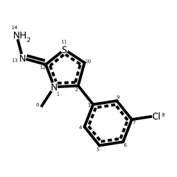 Cn1c(-c2cccc(Cl)c2)csc1=NN